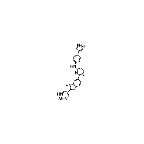 CN/C=C(\C=N)c1cc2ccc(C3=NCCC(Nc4ccc(-c5cn[nH]c5)cc4)=N3)cc2[nH]1